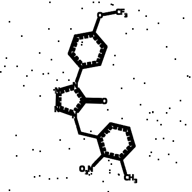 Cc1cccc(Cn2nnn(-c3ccc(OC(F)(F)F)cc3)c2=O)c1[N+](=O)[O-]